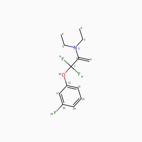 C=C(N(CC)CC)C(F)(F)Oc1cccc(F)c1